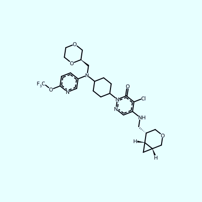 O=c1c(Cl)c(NC[C@@H]2COC[C@@H]3C[C@H]23)cnn1C1CCC(N(C[C@@H]2COCCO2)c2ccc(OC(F)(F)F)nc2)CC1